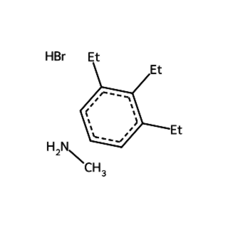 Br.CCc1cccc(CC)c1CC.CN